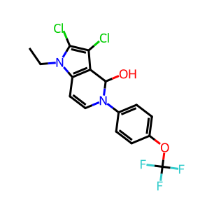 CCn1c(Cl)c(Cl)c2c1C=CN(c1ccc(OC(F)(F)F)cc1)C2O